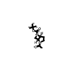 CC(=O)N1CC[C@@H]2[C@H]1CN2C(=O)OC(C)(C)C